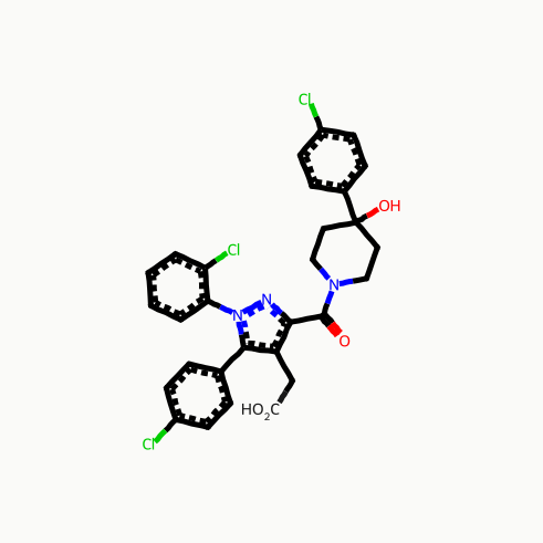 O=C(O)Cc1c(C(=O)N2CCC(O)(c3ccc(Cl)cc3)CC2)nn(-c2ccccc2Cl)c1-c1ccc(Cl)cc1